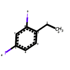 C[CH]c1ccc(I)cc1I